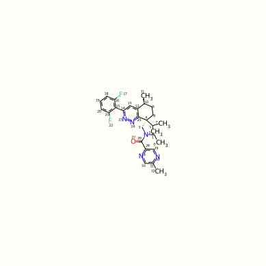 CCN(C[C@@]1(C(C)C)CC[C@H](C)c2cc(-c3c(F)cccc3F)nnc21)C(=O)c1cnc(C)cn1